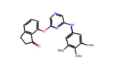 COc1cc(Nc2cncc(Oc3cccc4c3C(=O)CC4)n2)cc(OC)c1OC